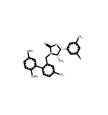 COc1ccc(SC)cc1-c1ccc(C(F)(F)F)cc1CN1C(=O)O[C@H](c2cc(F)cc(C(F)(F)F)c2)[C@@H]1C